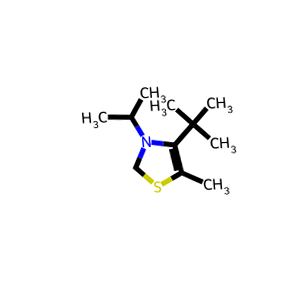 CC1=C(C(C)(C)C)N(C(C)C)CS1